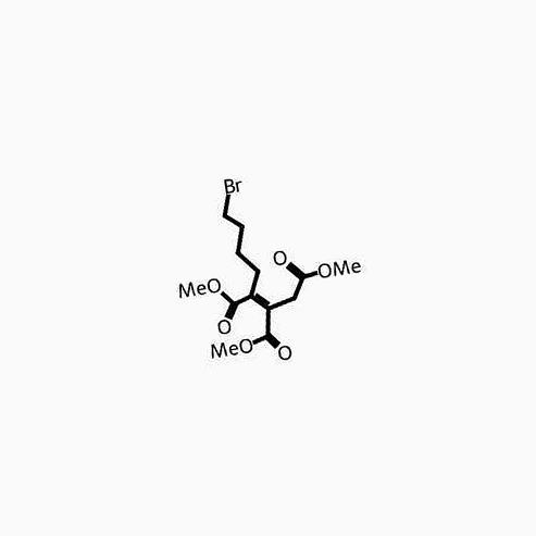 COC(=O)CC(C(=O)OC)=C(CCCCBr)C(=O)OC